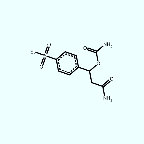 CCS(=O)(=O)c1ccc(C(CC(N)=O)OC(N)=O)cc1